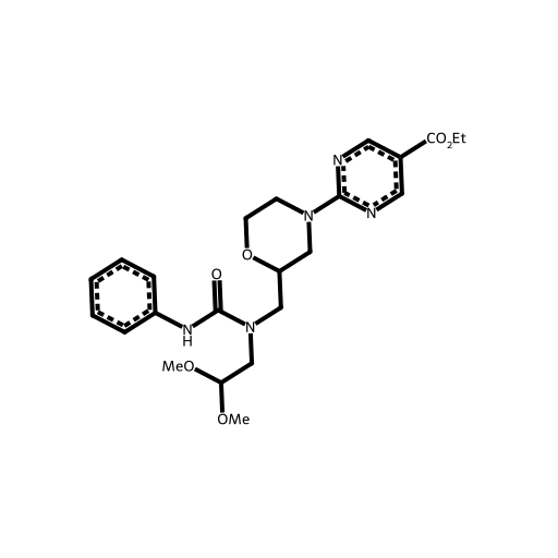 CCOC(=O)c1cnc(N2CCOC(CN(CC(OC)OC)C(=O)Nc3ccccc3)C2)nc1